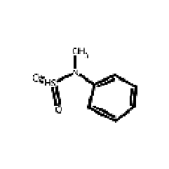 CN(c1ccccc1)[SH](=O)=O